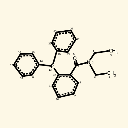 CCN(CC)C(=O)c1ccccc1P(c1ccccc1)c1ccccc1